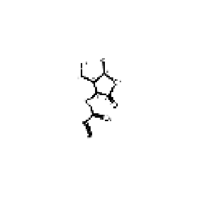 C=CC(=O)OC1C(=O)OC(C)C1CI